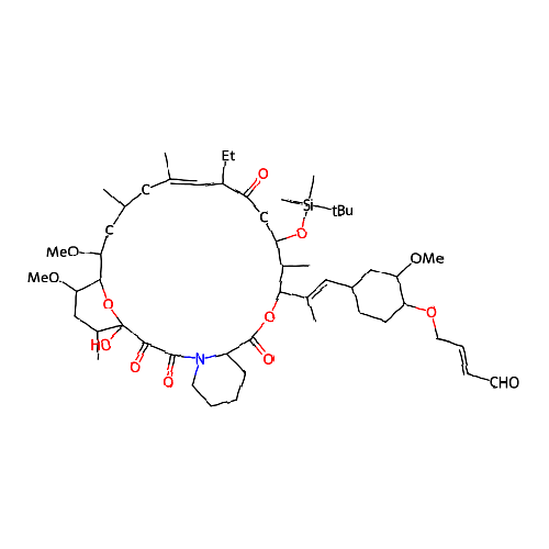 CCC1/C=C(\C)CC(C)CC(OC)C2OC(O)(C(=O)C(=O)N3CCCCC3C(=O)OC(C(C)=CC3CCC(OCC=CC=O)C(OC)C3)C(C)C(O[Si](C)(C)C(C)(C)C)CC1=O)C(C)CC2OC